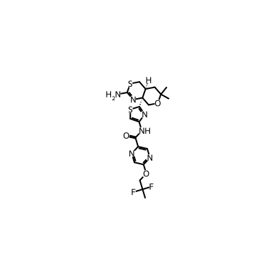 CC(F)(F)COc1cnc(C(=O)Nc2csc([C@@]34COC(C)(C)C[C@@H]3CSC(N)=N4)n2)cn1